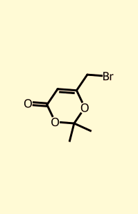 CC1(C)OC(=O)C=C(CBr)O1